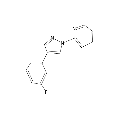 Fc1cccc(-c2cnn(-c3ccccn3)c2)c1